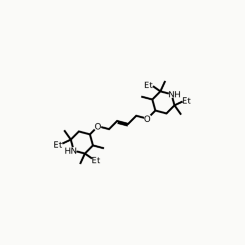 CCC1(C)CC(OCC=CCOC2CC(C)(CC)NC(C)(CC)C2C)C(C)C(C)(CC)N1